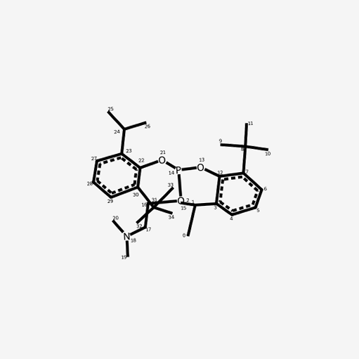 CC(C)c1cccc(C(C)(C)C)c1OP(OCCN(C)C)Oc1c(C(C)C)cccc1C(C)(C)C